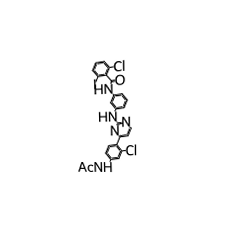 CC(=O)Nc1ccc(-c2ccnc(Nc3cccc(NC(=O)c4c(Cl)cccc4I)c3)n2)c(Cl)c1